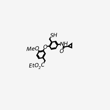 CCOC(=O)Cc1ccc(OC)c(Oc2ccc(NC(=O)C3CC3)cc2CS)c1